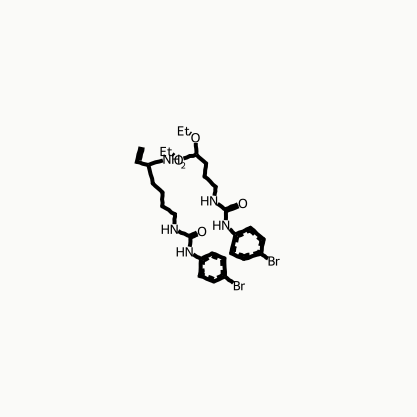 C=CC(N)CCCCNC(=O)Nc1ccc(Br)cc1.CCOC(CCCNC(=O)Nc1ccc(Br)cc1)OCC